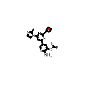 Cc1nccn1-c1cc(-c2cnc(N)c(OC(F)F)c2)nc(N2CC3CC2C3)n1